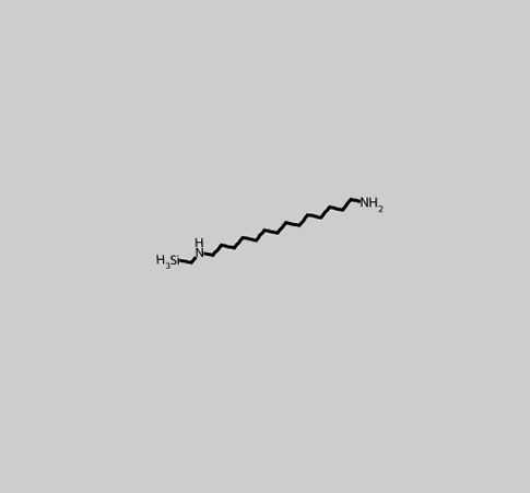 NCCCCCCCCCCCCCCNC[SiH3]